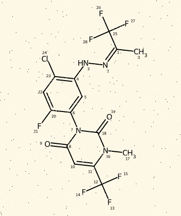 CC(=NNc1cc(-n2c(=O)cc(C(F)(F)F)n(C)c2=O)c(F)cc1Cl)C(F)(F)F